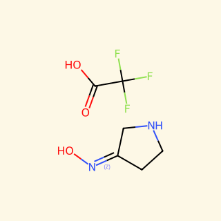 O/N=C1/CCNC1.O=C(O)C(F)(F)F